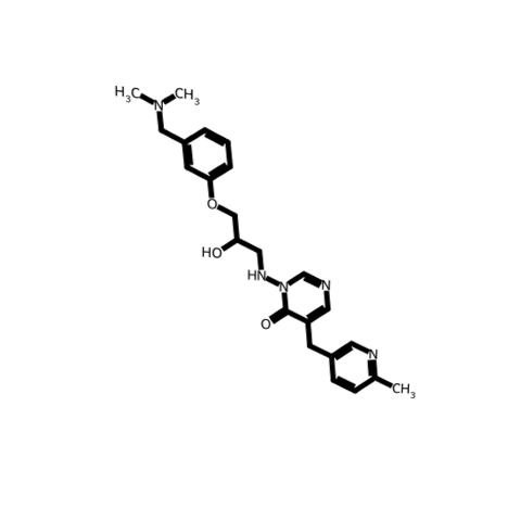 Cc1ccc(Cc2cncn(NCC(O)COc3cccc(CN(C)C)c3)c2=O)cn1